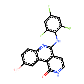 Bc1ccc2nc(Nc3c(F)cc(F)cc3F)c3cc[nH]c(=O)c3c2c1